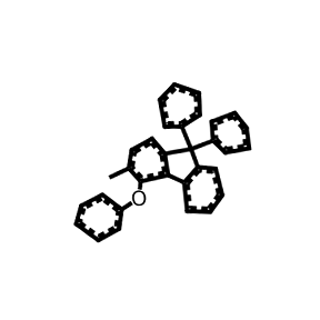 Cc1ccc2c(c1Oc1ccccc1)-c1ccccc1C2(c1ccccc1)c1ccccc1